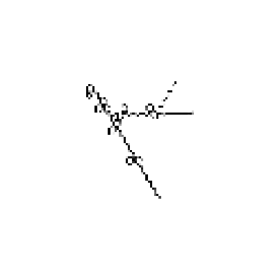 CCCCCCCCCCOC(=O)CCCCCCCC(=O)OCC(COC(=O)CCCCCC(=O)OC(CCCCCCCC)CCCCCCCC)COC(=O)OCCC1CCCN1C